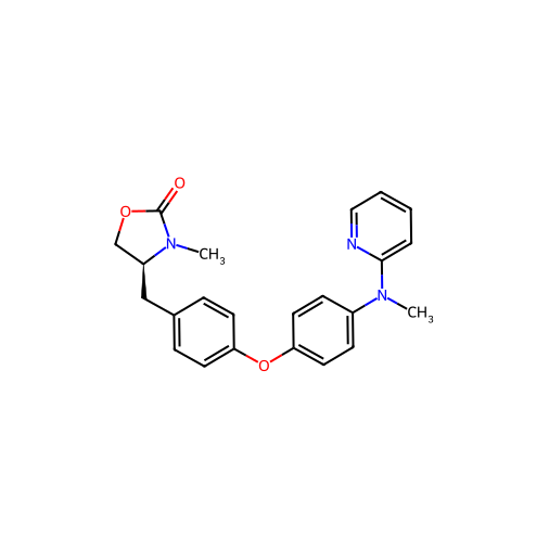 CN(c1ccc(Oc2ccc(C[C@H]3COC(=O)N3C)cc2)cc1)c1ccccn1